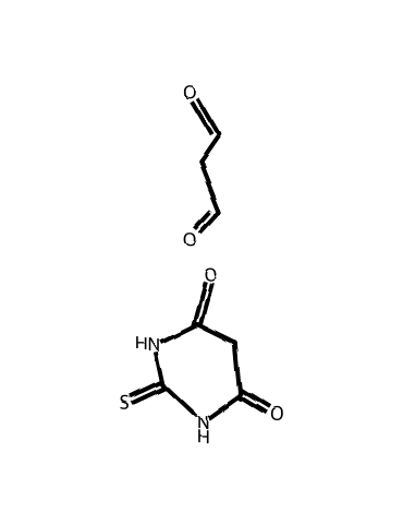 O=C1CC(=O)NC(=S)N1.O=CCC=O